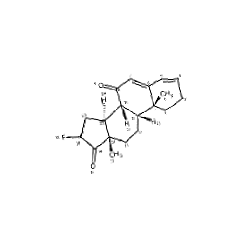 C[C@]12CCC=CC1=CC(=O)[C@@H]1[C@H]2CC[C@]2(C)C(=O)C(F)C[C@@H]12